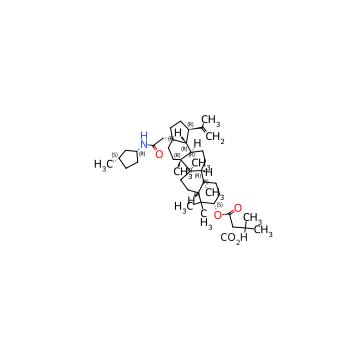 C=C(C)[C@@H]1CC[C@]2(CC(=O)N[C@@H]3CC[C@H](C)C3)CC[C@]3(C)[C@H](CC[C@@H]4[C@@]5(C)CC[C@H](OC(=O)CC(C)(C)C(=O)O)C(C)(C)[C@@H]5CC[C@]43C)[C@@H]12